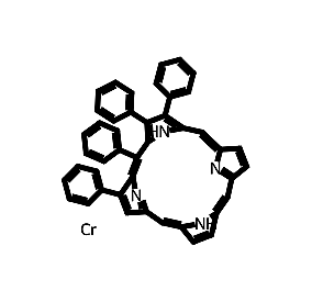 C1=Cc2cc3[nH]c(c(-c4ccccc4)c4nc(cc5ccc(cc1n2)[nH]5)C=C4c1ccccc1)c(-c1ccccc1)c3-c1ccccc1.[Cr]